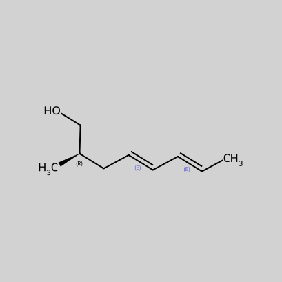 C/C=C/C=C/C[C@@H](C)CO